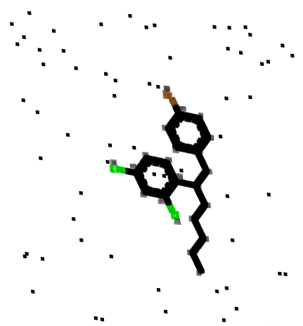 CCCCCC([CH]c1ccc(Br)cc1)c1ccc(Cl)cc1Cl